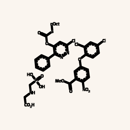 CCCCCCCCSC(=O)Oc1cc(Cl)nnc1-c1ccccc1.COC(=O)c1cc(Oc2ccc(Cl)cc2Cl)ccc1[N+](=O)[O-].O=C(O)CNCP(=O)(O)O